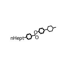 CCCCCCCc1ccc(C(=O)Oc2ccc(C3CCC(C)CC3)cc2)cc1